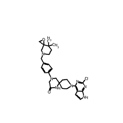 CC1(C)CCN(Cc2ccc(N3CC(=O)NC4(CCN(c5nc(Cl)nc6[nH]ccc56)CC4)C3)cc2)CC12CO2